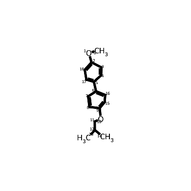 COc1ccc(-c2ccc(OCC(C)C)cc2)cc1